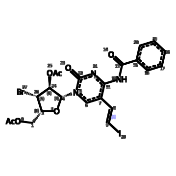 CC(=O)OC[C@H]1O[C@@H](n2cc(/C=C/I)c(NC(=O)c3ccccc3)nc2=O)[C@H](OC(C)=O)[C@H]1Br